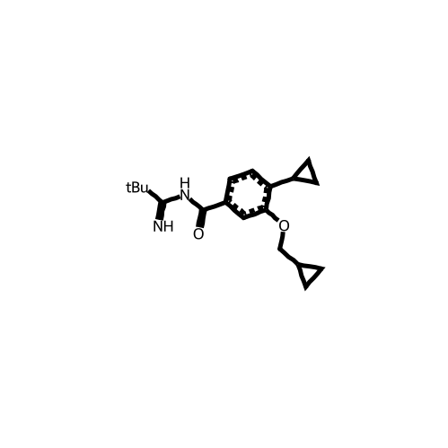 CC(C)(C)C(=N)NC(=O)c1ccc(C2CC2)c(OCC2CC2)c1